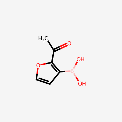 CC(=O)c1occc1B(O)O